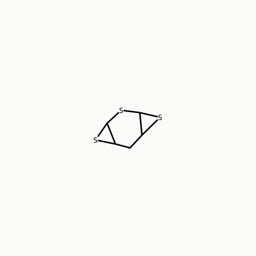 C1C2SC2SC2SC12